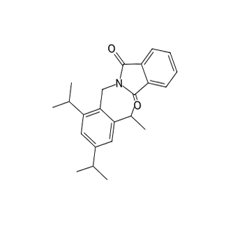 CC(C)c1cc(C(C)C)c(CN2C(=O)c3ccccc3C2=O)c(C(C)C)c1